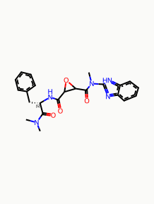 CN(C)C(=O)[C@H](Cc1ccccc1)NC(=O)C1OC1C(=O)N(C)c1nc2ccccc2[nH]1